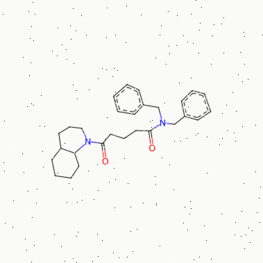 O=C(CCCC(=O)N1CCCC2CCCCC21)N(Cc1ccccc1)Cc1ccccc1